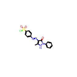 Cc1[nH]n(-c2ccccc2)c(=O)c1/N=N/c1ccc(S(=O)(=O)Cl)cc1